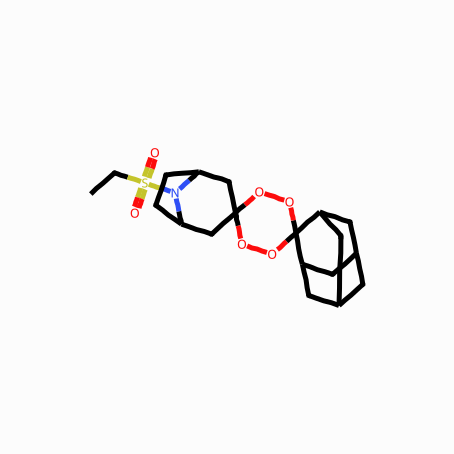 CCS(=O)(=O)N1C2CCC1CC1(C2)OOC2(OO1)C1CC3CC(C1)CC2C3